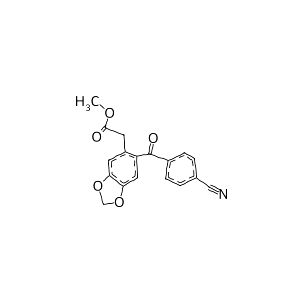 COC(=O)Cc1cc2c(cc1C(=O)c1ccc(C#N)cc1)OCO2